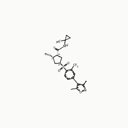 CO[C@@H]1C[C@H](S(=O)(=O)c2ccc(-c3c(C)noc3C)cc2C(F)(F)F)C[C@H]1C(=O)NC1(C#N)CC1